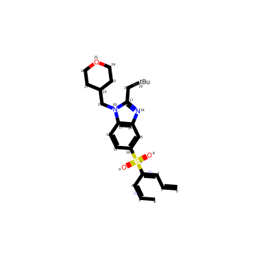 C=C/C=C(\C=C/C)S(=O)(=O)c1ccc2c(c1)nc(CC(C)(C)C)n2CC1CCOCC1